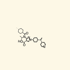 C=C(c1ccncc1)c1ccc(-n2cc(C(=O)O)c(N(C(=O)[C@H]3CC[C@H](C)CC3)C(C)C)n2)cc1